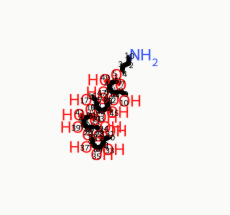 NCCCCO[C@H]1OC(CO)[C@@H](O[C@@H]2OC(CO)[C@@H](O[C@@H]3OC(CO)[C@@H](O[C@H]4OC(CO)[C@H](O)[C@H](O)C4O)[C@H](O)C3O)[C@H](O)C2O)[C@H](O)C1O